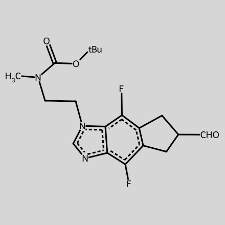 CN(CCn1cnc2c(F)c3c(c(F)c21)CC(C=O)C3)C(=O)OC(C)(C)C